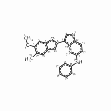 COc1cc2sc(-c3cnc4ccc(Nc5ccccc5)nn34)cc2cc1C